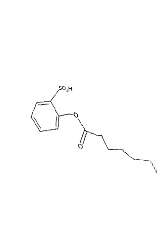 O=C(CCCCCI)Oc1ccccc1S(=O)(=O)O